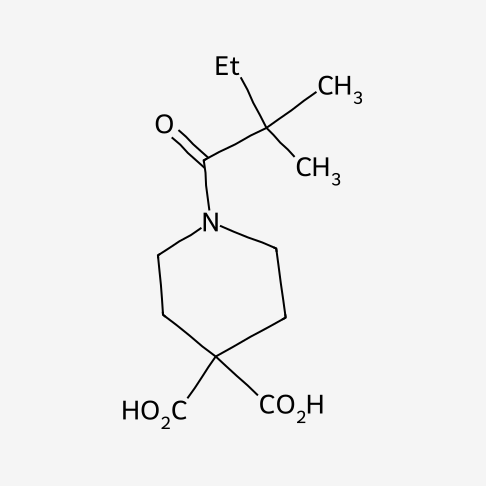 CCC(C)(C)C(=O)N1CCC(C(=O)O)(C(=O)O)CC1